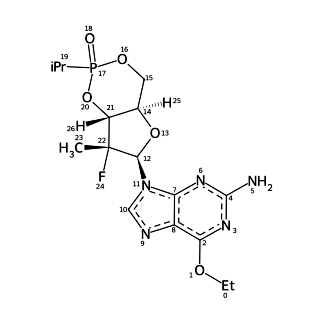 CCOc1nc(N)nc2c1ncn2[C@@H]1O[C@@H]2COP(=O)(C(C)C)O[C@H]2[C@@]1(C)F